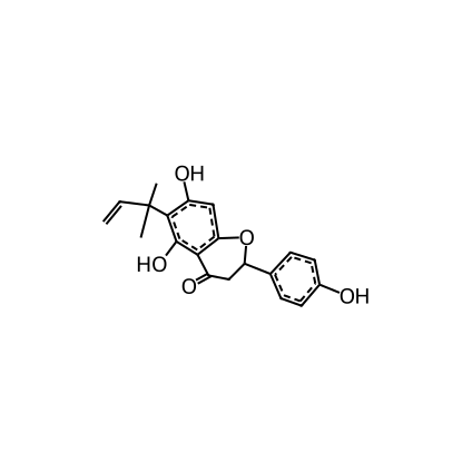 C=CC(C)(C)c1c(O)cc2c(c1O)C(=O)CC(c1ccc(O)cc1)O2